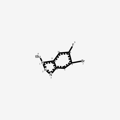 CC(C)(C)n1nnc2cc(Br)c(F)cc21